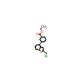 CCOC(=O)c1cccc(-c2cccc3sc(CBr)cc23)c1